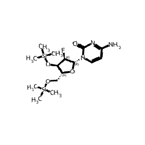 C[Si](C)(C)OC[C@H]1O[C@@H](n2ccc(N)nc2=O)[C@H](F)C1O[Si](C)(C)C